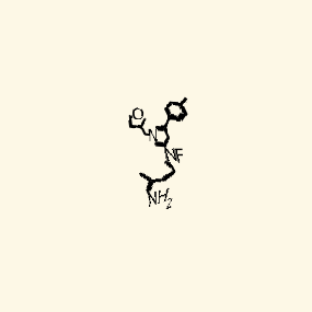 CC(/C=C\CN(F)C1=CN(CC2CCOC2)C=C(c2ccc(C)cc2)C1)=C/N